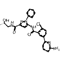 C[C@H](O)CNC(=O)c1cc(NC(=O)c2cc(-c3cccc(N)n3)ccc2Cl)n(-c2ccccc2)n1